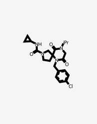 CC(C)N1CC(=O)N(Cc2ccc(Cl)cc2)C2(CCN(C(=O)NC3CC3)C2)C1=O